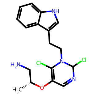 C[C@H](CN)OC1=C(Cl)N(CCc2c[nH]c3ccccc23)C(Cl)N=C1